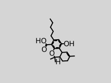 CCCCCc1cc(O)c2c(c1C(=O)O)OC(C)(C)[C@@H]1CCC(C)=CC21